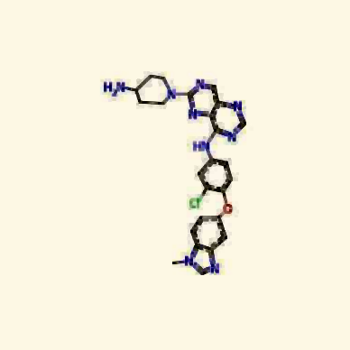 Cn1cnc2cc(Oc3ccc(Nc4ncnc5cnc(N6CCC(N)CC6)nc45)cc3Cl)ccc21